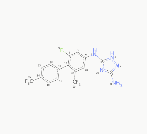 Nc1n[nH]c(Nc2cc(F)c(-c3ccc(C(F)(F)F)cc3)c(C(F)(F)F)c2)n1